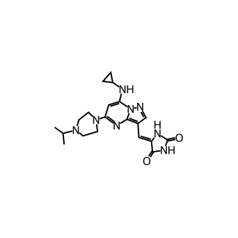 CC(C)N1CCN(c2cc(NC3CC3)n3ncc(/C=C4\NC(=O)NC4=O)c3n2)CC1